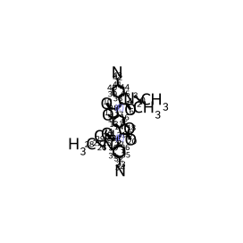 CC(C)CN1C(=O)/C(=C2/C(=O)Oc3cc4c(cc32)OC(=O)/C4=C2/C(=O)N(CC(C)C)c3cc(C#N)ccc32)c2ccc(C#N)cc21